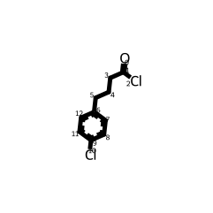 O=C(Cl)CCCc1ccc(Cl)cc1